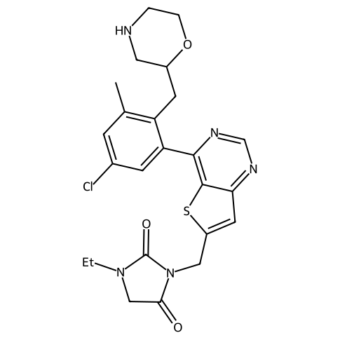 CCN1CC(=O)N(Cc2cc3ncnc(-c4cc(Cl)cc(C)c4CC4CNCCO4)c3s2)C1=O